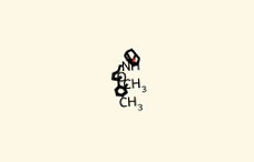 Cc1ccc(-c2ccc(CNC34CC5CC(CC(C5)C3)C4)o2)c(C)c1